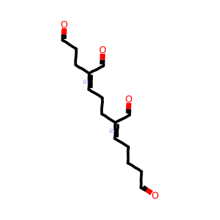 O=CCCC/C=C(\C=O)CC/C=C(\C=O)CCC=O